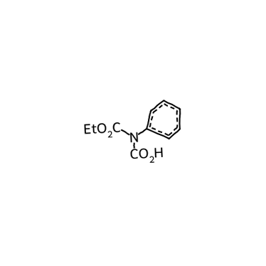 CCOC(=O)N(C(=O)O)c1ccccc1